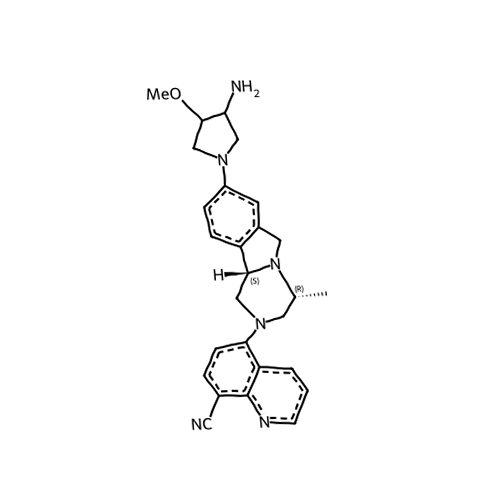 COC1CN(c2ccc3c(c2)CN2[C@H](C)CN(c4ccc(C#N)c5ncccc45)C[C@H]32)CC1N